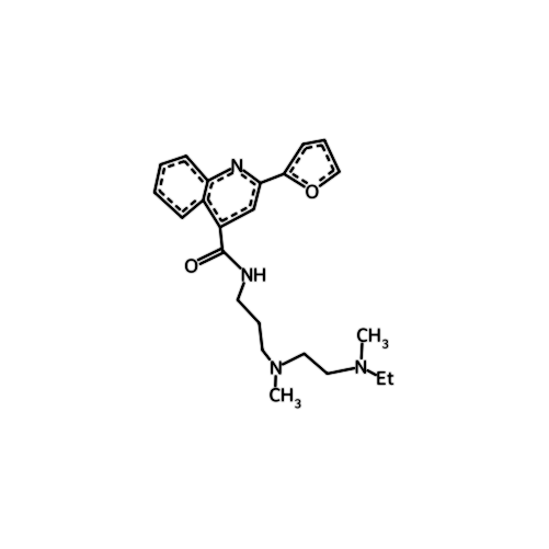 CCN(C)CCN(C)CCCNC(=O)c1cc(-c2ccco2)nc2ccccc12